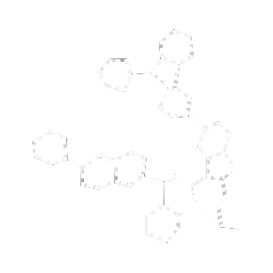 C\C=C/C=c1/oc2ccc(-c3ccc4c(c3)c3ccccc3n4-c3ccccc3)cc2/c1=C1\N=C(c2ccc3cc(-c4ccccc4)ccc3c2)c2ccccc2N1C